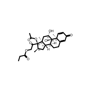 CCC(=O)OCC(=O)[C@@]1(OC(C)=O)[C@H](C)C[C@H]2[C@@H]3CCC4=CC(=O)C=C[C@]4(C)[C@@]3(Cl)[C@@H](O)C[C@@]21C